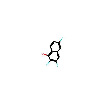 [O]c1c(F)c(F)cc2cc(F)ccc12